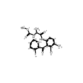 CC(NC(=O)OC(C)(C)C)C(=O)Nc1ccc(C(F)(F)F)c(Cl)c1C(=O)c1ncccc1F